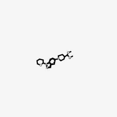 COC(OC)C1CCN(c2ccc3c(cnn3C3CCCCO3)c2)CC1